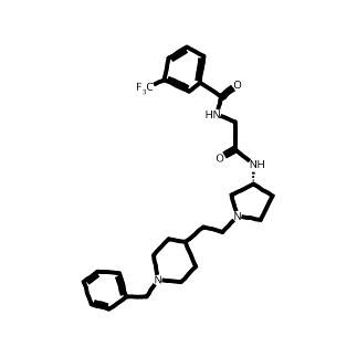 O=C(CNC(=O)c1cccc(C(F)(F)F)c1)N[C@@H]1CCN(CCC2CCN(Cc3ccccc3)CC2)C1